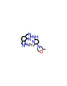 Cc1nc(Nc2ncc3ccc4cnn(C(C)C)c4c3n2)ccc1N1CCOC(C)C1